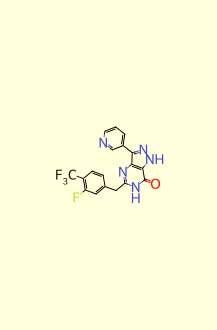 O=c1[nH]c(Cc2ccc(C(F)(F)F)c(F)c2)nc2c(-c3cccnc3)n[nH]c12